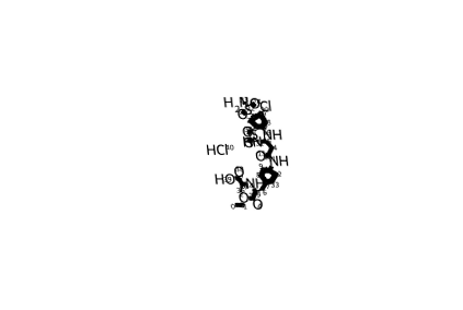 CCOC(=O)[C@H](Cc1ccc(NC(=O)CC2Nc3cc(Cl)c(S(N)(=O)=O)cc3S(=O)(=O)N2)cc1)N[C@@H](C)C(=O)O.Cl